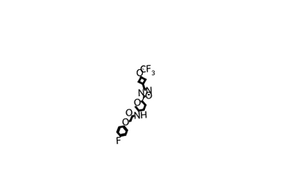 O=C(COc1ccc(F)cc1)N[C@H]1CC[C@H](c2nc(C3CC(OC(F)(F)F)C3)no2)OC1